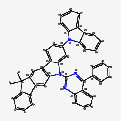 CC1(C)c2ccccc2-c2cc3c(cc21)c1ccc(-n2c4ccccc4c4ccccc42)cc1n3-c1nc(-c2ccccc2)c2ccccc2n1